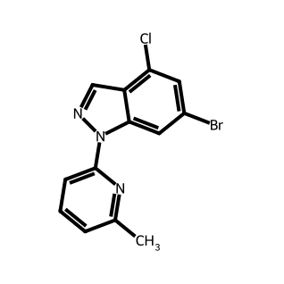 Cc1cccc(-n2ncc3c(Cl)cc(Br)cc32)n1